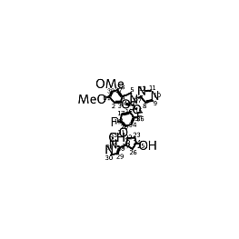 COc1ccc(CN(c2ccncn2)S(=O)(=O)c2cc(F)c(OC3CC(O)CC3c3ccnn3C)cc2F)c(OC)c1